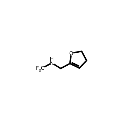 FC(F)(F)NCC1=CCCO1